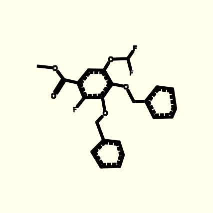 COC(=O)c1cc(OC(F)F)c(OCc2ccccc2)c(OCc2ccccc2)c1F